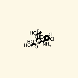 N[C@@H](c1cc(Cl)c(Cl)cc1O)[C@@H]1CCCN(C(=O)[C@H](O)CO)C1.O=C(O)C(F)(F)F